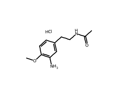 COc1ccc(CCNC(C)=O)cc1N.Cl